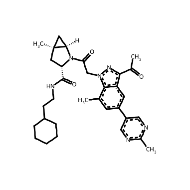 CC(=O)c1nn(CC(=O)N2[C@H](C(=O)NCCC3CCCCC3)C[C@@]3(C)C[C@@H]23)c2c(C)cc(-c3cnc(C)nc3)cc12